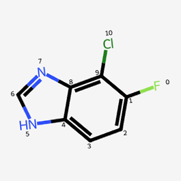 Fc1ccc2[nH]cnc2c1Cl